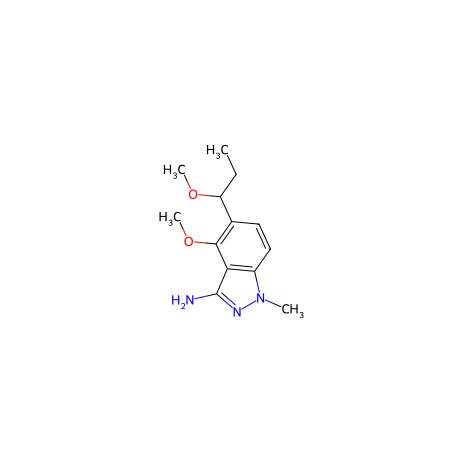 CCC(OC)c1ccc2c(c(N)nn2C)c1OC